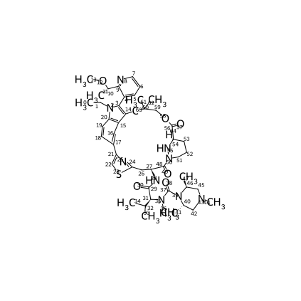 CCn1c(-c2cccnc2[C@H](C)OC)c2c3cc(ccc31)-c1csc(n1)C[C@H](NC(=O)[C@H](C(C)C)N(C)C(=O)N1[C@@H](C)CN(C)C[C@@H]1C)C(=O)N1CCC[C@H](N1)C(=O)OCC(C)(C)C2